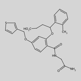 Cc1ccccc1C(CCC(=O)O)Oc1cc(OCc2ccsc2)ccc1C(=O)NCC(N)=O